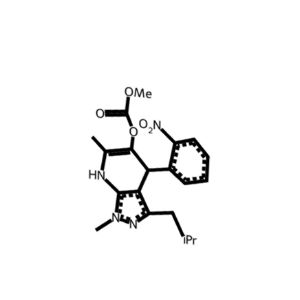 COC(=O)OC1=C(C)Nc2c(c(CC(C)C)nn2C)C1c1ccccc1[N+](=O)[O-]